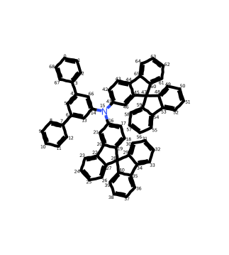 c1ccc(-c2cc(-c3ccccc3)cc(N(c3ccc4c(c3)-c3ccccc3C43c4ccccc4-c4ccccc43)c3ccc4c(c3)C3(c5ccccc5-c5ccccc53)c3ccccc3-4)c2)cc1